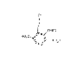 CCCCCc1c(C(=O)O)ccc(C(=O)O)c1CCC(C)C